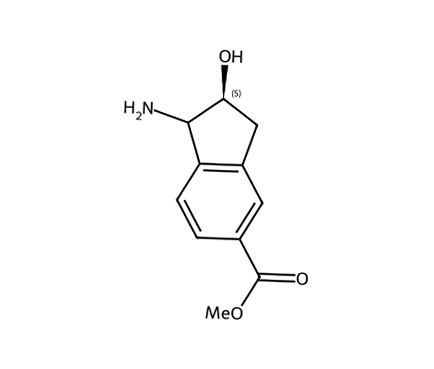 COC(=O)c1ccc2c(c1)C[C@H](O)C2N